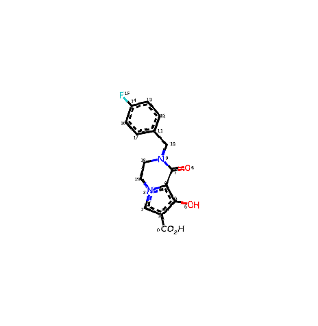 O=C(O)c1cn2c(c1O)C(=O)N(Cc1ccc(F)cc1)CC2